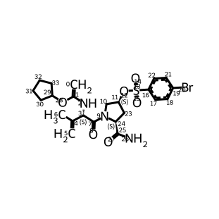 C=C(N[C@@H](C(=C)C)C(=O)N1C[C@@H](OS(=O)(=O)c2ccc(Br)cc2)C[C@H]1C(N)=O)OC1CCCC1